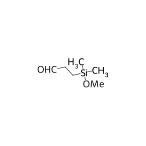 CO[Si](C)(C)CCC=O